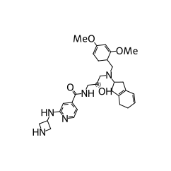 COC1=CCC(CN(C[C@H](O)CNC(=O)c2ccnc(NC3CNC3)c2)C2CC3=C(CCC=C3)C2)C(OC)=C1